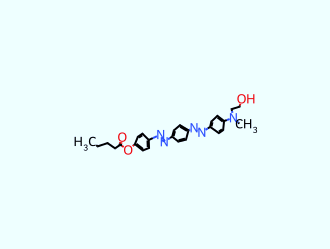 CCCCC(=O)Oc1ccc(N=Nc2ccc(N=Nc3ccc(N(C)CCO)cc3)cc2)cc1